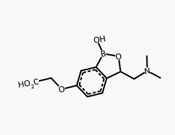 CN(C)CC1OB(O)c2cc(OCC(=O)O)ccc21